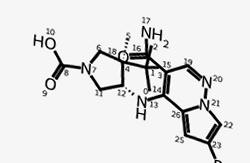 CC(C)(C)[C@]1(C)CN(C(=O)O)C[C@H]1Nc1c(C(N)=O)cnn2cc(Br)cc12